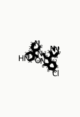 O=C1N(Cc2ncc3cc(Cl)ccc3c2-c2ccnnc2)c2cnccc2C12CCNCC2